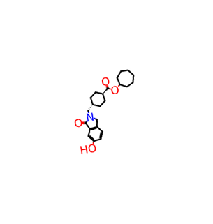 O=C1c2cc(O)ccc2CN1C[C@H]1CC[C@H](C(=O)OC2CCCCCC2)CC1